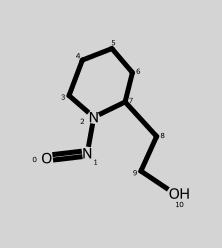 O=NN1CCCCC1CCO